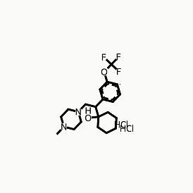 CN1CCN(CC(c2cc[c]c(OC(F)(F)F)c2)C2(O)CCCCC2)CC1.Cl.Cl